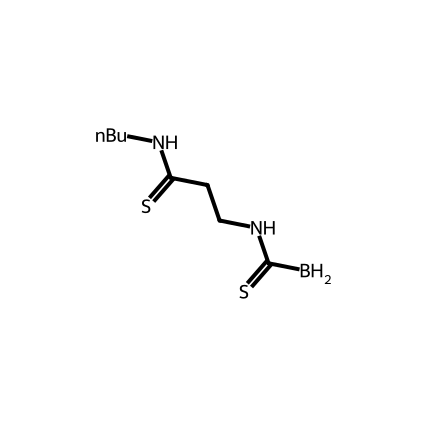 BC(=S)NCCC(=S)NCCCC